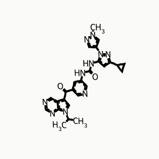 CC(C)n1cc(C(=O)c2cncc(NC(=O)Nc3cc(C4CC4)nn3-c3cnn(C)c3)c2)c2cncnc21